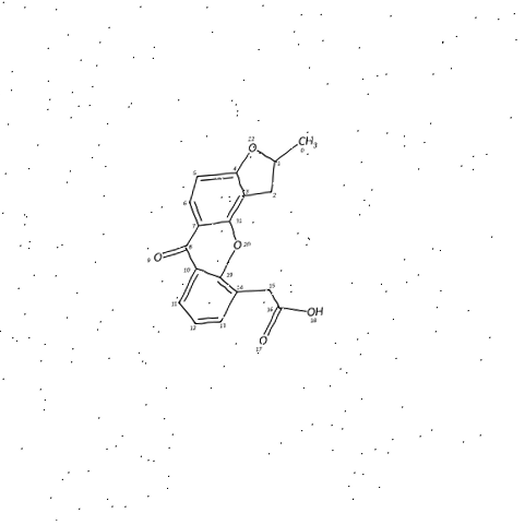 CC1Cc2c(ccc3c(=O)c4cccc(CC(=O)O)c4oc23)O1